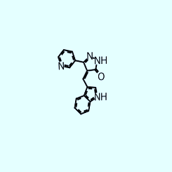 O=C1NN=C(c2cccnc2)C1=Cc1c[nH]c2ccccc12